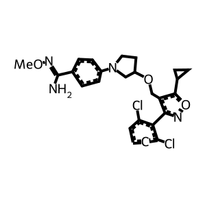 CO/N=C(\N)c1ccc(N2CCC(OCc3c(-c4c(Cl)cccc4Cl)noc3C3CC3)C2)cc1